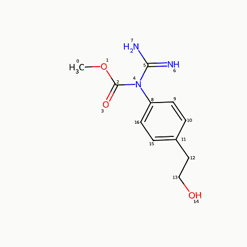 COC(=O)N(C(=N)N)c1ccc(CCO)cc1